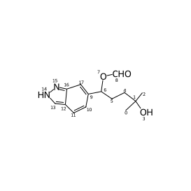 CC(C)(O)CCC(OC=O)c1ccc2c[nH]nc2c1